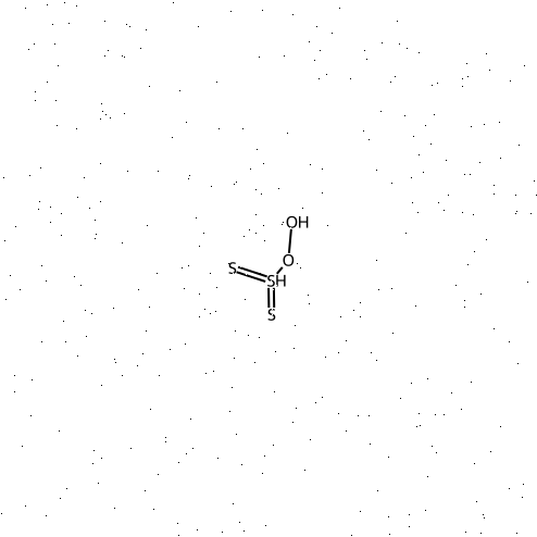 OO[SH](=S)=S